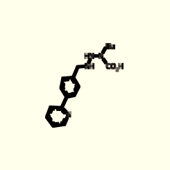 CCC(C)N(NNCc1ccc(-c2ccccn2)cc1)C(=O)O